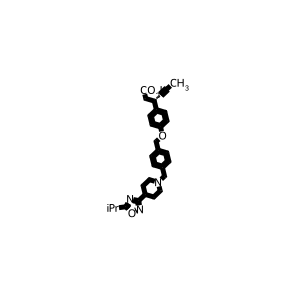 CC#C[C@@H](CC(=O)O)c1ccc(OCc2ccc(CN3CCC(c4noc(C(C)C)n4)CC3)cc2)cc1